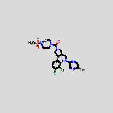 CS(=O)(=O)N1CCN(C(=O)N2CC(CNc3cnc(C#N)cn3)[C@@H](c3ccc(Cl)c(Cl)c3)C2)CC1